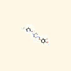 Cc1cc(C(=O)NC2CCN(CC(O)c3ccc4c(c3C)COC4=O)CC2)ncc1C#N